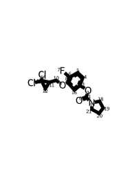 O=C(Oc1ccc(F)c(OCC2CC2(Cl)Cl)c1)N1CCCC1